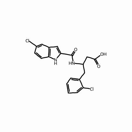 O=C(O)CC(Cc1ccccc1Cl)NC(=O)c1cc2cc(Cl)ccc2[nH]1